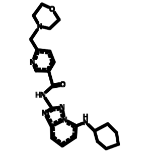 O=C(Nc1nc2cccc(NC3CCCCC3)n2n1)c1ccc(CN2CCOCC2)nc1